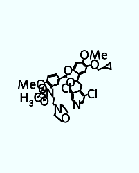 COc1ccc(C(Cc2c(Cl)cncc2Cl)OC(=O)c2ccc(OC)c(N(CCN3CCOCC3)S(C)(=O)=O)c2)cc1OCC1CC1